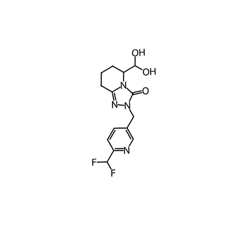 O=c1n(Cc2ccc(C(F)F)nc2)nc2n1C(C(O)O)CCC2